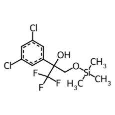 C[Si](C)(C)OCC(O)(c1cc(Cl)cc(Cl)c1)C(F)(F)F